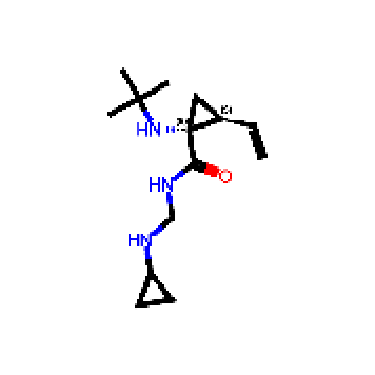 C=C[C@@H]1C[C@]1(NC(C)(C)C)C(=O)NCNC1CC1